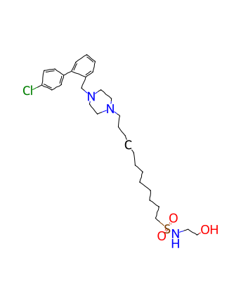 O=S(=O)(CCCCCCCCCCCCN1CCN(Cc2ccccc2-c2ccc(Cl)cc2)CC1)NCCO